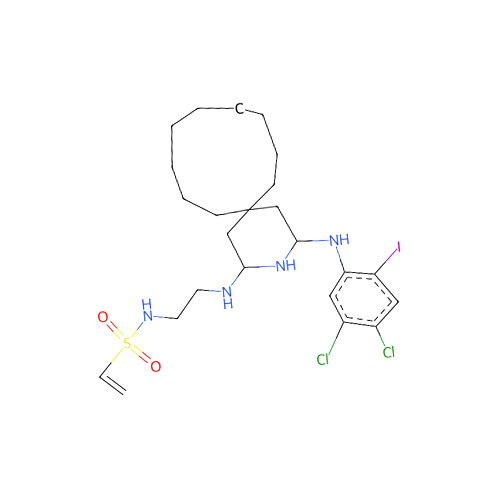 C=CS(=O)(=O)NCCNC1CC2(CCCCCCCCC2)CC(Nc2cc(Cl)c(Cl)cc2I)N1